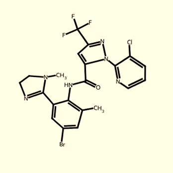 Cc1cc(Br)cc(C2=NCCN2C)c1NC(=O)c1cc(C(F)(F)F)nn1-c1ncccc1Cl